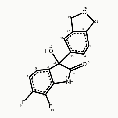 O=C1Nc2c(ccc(F)c2F)C1(O)c1ccc2c(c1)COC2